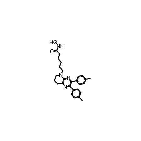 Cc1ccc(-c2nc3c(nc2-c2ccc(C)cc2)N(CCCCCC(=O)NO)CCC3)cc1